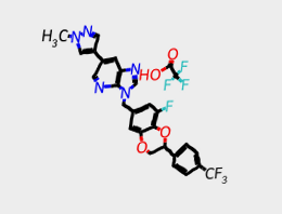 Cn1cc(-c2cnc3c(c2)ncn3Cc2cc(F)c3c(c2)OCC(c2ccc(C(F)(F)F)cc2)O3)cn1.O=C(O)C(F)(F)F